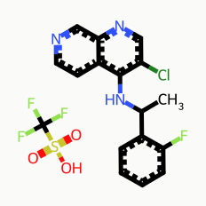 CC(Nc1c(Cl)cnc2cnccc12)c1ccccc1F.O=S(=O)(O)C(F)(F)F